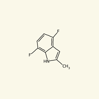 Cc1cc2c(F)ccc(F)c2[nH]1